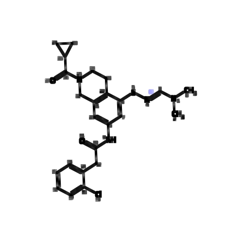 CN(C)/C=N/Sc1cc(NC(=O)Cc2ccccc2Cl)cc2c1CCN(C(=O)C1CC1)C2